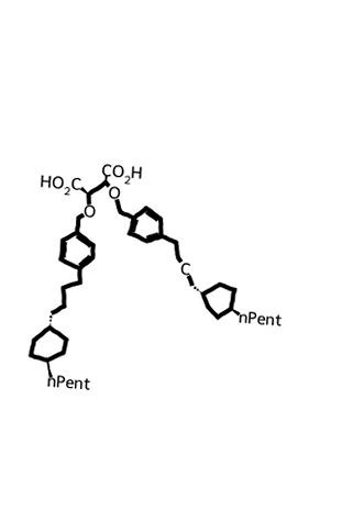 CCCCC[C@H]1CC[C@H](CCCCc2ccc(CO[C@@H](C(=O)O)[C@@H](OCc3ccc(CCCC[C@H]4CC[C@H](CCCCC)CC4)cc3)C(=O)O)cc2)CC1